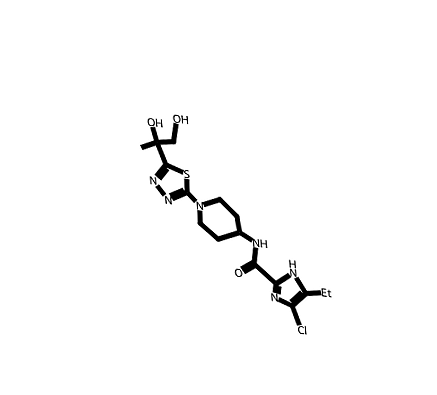 CCc1[nH]c(C(=O)NC2CCN(c3nnc(C(C)(O)CO)s3)CC2)nc1Cl